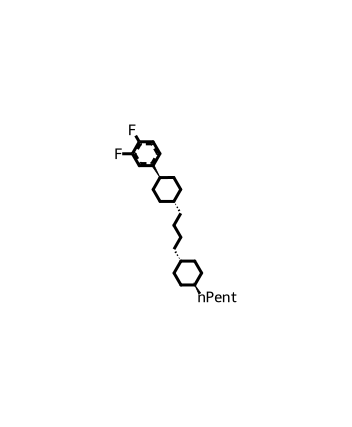 CCCCC[C@H]1CC[C@H](CCCC[C@H]2CC[C@H](c3ccc(F)c(F)c3)CC2)CC1